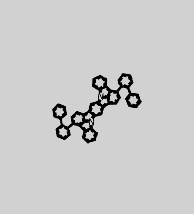 c1ccc(-c2ccccc2-c2ccc3c4cc5c(cc4n4c6ccccc6c2c34)c2ccc(-c3ccccc3-c3ccccc3)c3c4ccccc4n5c23)cc1